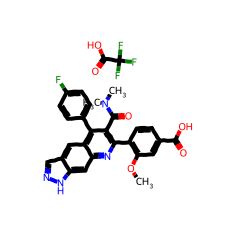 COc1cc(C(=O)O)ccc1-c1nc2cc3[nH]ncc3cc2c(-c2ccc(F)cc2)c1C(=O)N(C)C.O=C(O)C(F)(F)F